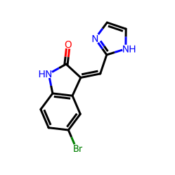 O=C1Nc2ccc(Br)cc2C1=Cc1ncc[nH]1